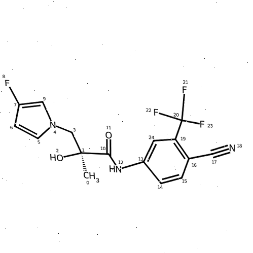 C[C@](O)(Cn1ccc(F)c1)C(=O)Nc1ccc(C#N)c(C(F)(F)F)c1